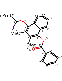 CCCCCC(I)Oc1c(OC)c(OC)c(OC(=O)c2ccccc2)c2ccccc12